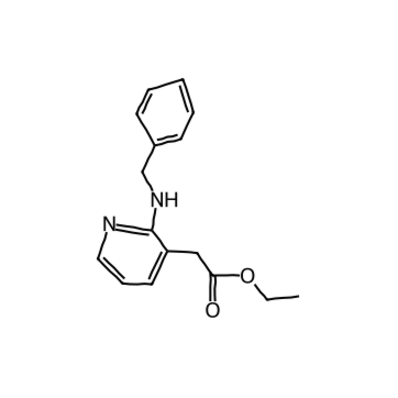 CCOC(=O)Cc1cccnc1NCc1ccccc1